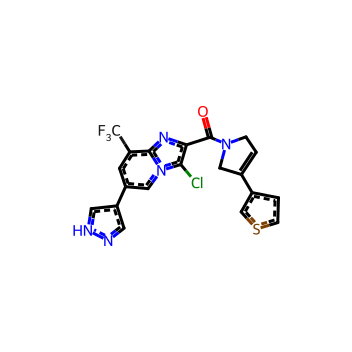 O=C(c1nc2c(C(F)(F)F)cc(-c3cn[nH]c3)cn2c1Cl)N1CC=C(c2ccsc2)C1